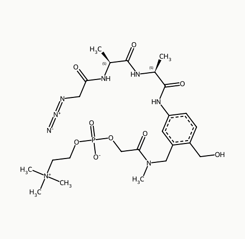 C[C@H](NC(=O)CN=[N+]=[N-])C(=O)N[C@@H](C)C(=O)Nc1ccc(CO)c(CN(C)C(=O)COP(=O)([O-])OCC[N+](C)(C)C)c1